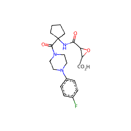 O=C(O)C1OC1C(=O)NC1(C(=O)N2CCN(c3ccc(F)cc3)CC2)CCCC1